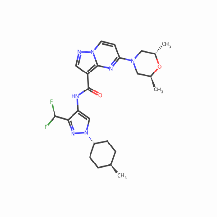 C[C@H]1CN(c2ccn3ncc(C(=O)Nc4cn([C@H]5CC[C@H](C)CC5)nc4C(F)F)c3n2)C[C@H](C)O1